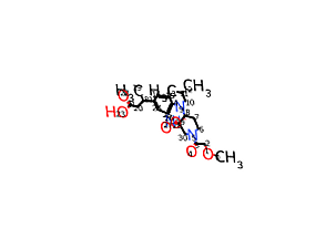 COCC(=O)N1CCC(N(CC(C)C)c2ccc([C@H](C)CC(=O)O)cc2[N+](=O)[O-])CC1